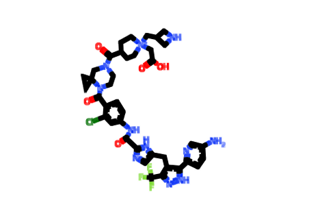 Nc1ccc(-c2[nH]nc(C(F)(F)F)c2Cc2cnc(C(=O)Nc3ccc(C(=O)N4CCN(C(=O)C5CC[N+](CC(=O)O)(CC6CNC6)CC5)CC45CC5)c(Cl)c3)[nH]2)nc1